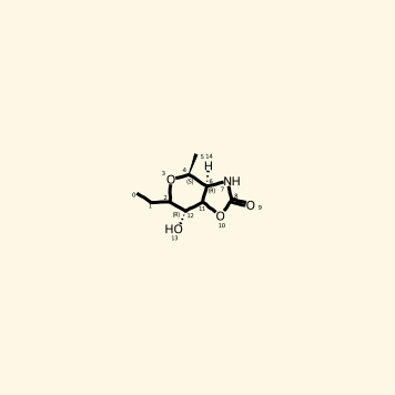 CCC1O[C@@H](C)[C@H]2NC(=O)OC2[C@@H]1O